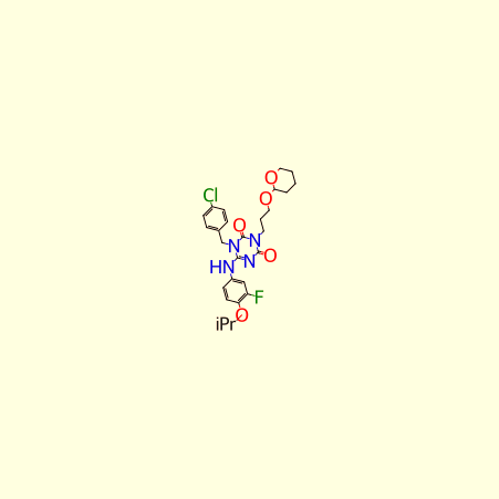 CC(C)Oc1ccc(Nc2nc(=O)n(CCCOC3CCCCO3)c(=O)n2Cc2ccc(Cl)cc2)cc1F